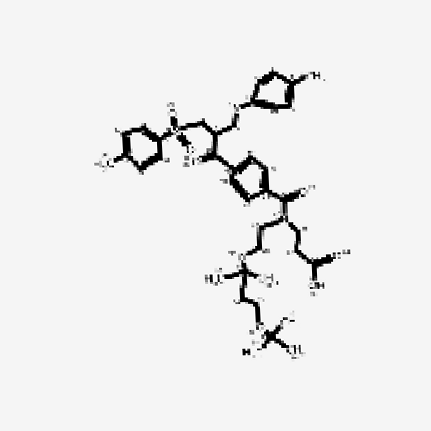 Cc1ccc(SCC(CS(=O)(=O)c2ccc(C)cc2)C(=O)c2ccc(C(=O)N(CCOC(C)(C)CCOC(C)(C)C)CCC(=O)O)cc2)cc1